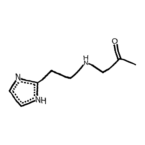 CC(=O)CNCCc1ncc[nH]1